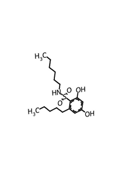 CCCCCCNS(=O)(=O)c1c(O)cc(O)cc1CCCCC